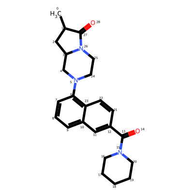 CC1CC2CN(c3cccc4cc(C(=O)N5CCCCC5)ccc34)CCN2C1=O